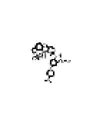 COc1cc(N2CCC(N(C)C)CC2)ccc1Nc1ncc(Cl)c(Nc2cccc3ccn(S(C)(=O)=O)c23)n1